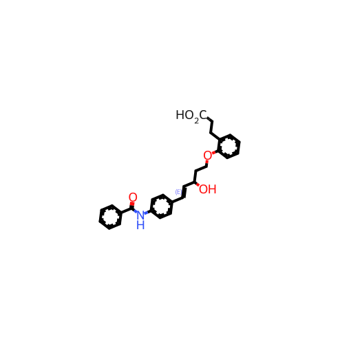 O=C(O)CCc1ccccc1OCCC(O)/C=C/c1ccc(NC(=O)c2ccccc2)cc1